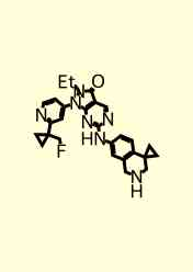 CCn1c(=O)c2cnc(Nc3ccc4c(c3)CNCC43CC3)nc2n1-c1ccnc(C2(CF)CC2)c1